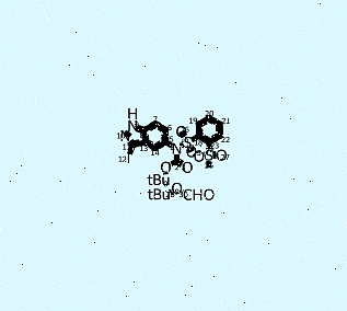 CC(C)(C)OC(=O)N(c1ccc2[nH]nc(I)c2c1)S(=O)(=O)c1ccccc1S(C)(=O)=O.CC(C)(C)OC=O